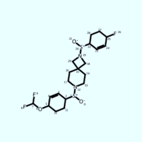 [O-][S+](C1C=CC(OC(F)F)CC1)N1CCC2(CC1)CN([S+]([O-])C1C=CC(F)CC1)C2